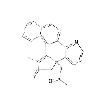 CC(=O)CC12CC(=O)C(C)=C1c1c(ccc3ccccc13)-c1ncccc12